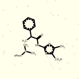 CCCCCN(C)C.Cc1nc(NC(=O)C(C)c2ccccc2)sc1C(=O)O